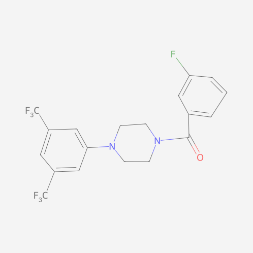 O=C(c1cccc(F)c1)N1CCN(c2cc(C(F)(F)F)cc(C(F)(F)F)c2)CC1